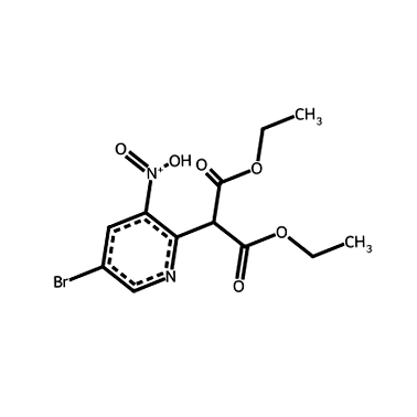 CCOC(=O)C(C(=O)OCC)c1ncc(Br)cc1[N+](=O)O